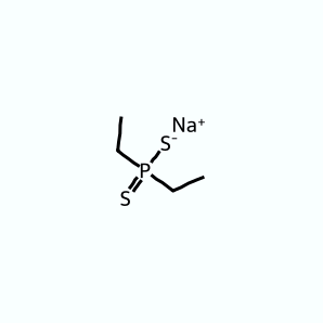 CCP(=S)([S-])CC.[Na+]